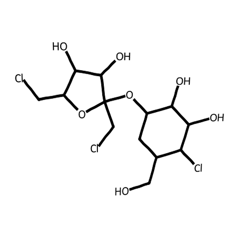 OCC1CC(OC2(CCl)OC(CCl)C(O)C2O)C(O)C(O)C1Cl